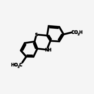 O=C(O)c1ccc2c(c1)Nc1cc(C(=O)O)ccc1S2